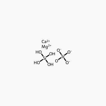 O[Si](O)(O)O.[Ca+2].[Mg+2].[O-][Si]([O-])([O-])[O-]